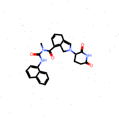 CN(C(=O)Nc1cccc2ccccc12)C(=O)C1=C2CN(C3CCC(=O)NC3=O)C=C2CC=C1